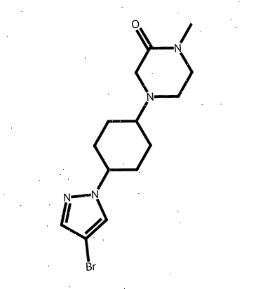 CN1CCN(C2CCC(n3cc(Br)cn3)CC2)CC1=O